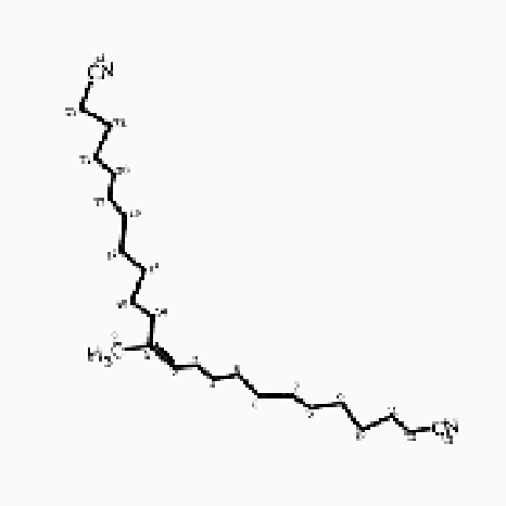 CC(=CCCCCCCCCCCC#N)CCCCCCCCCCC#N